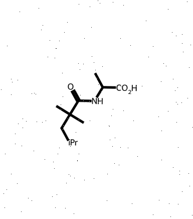 CC(C)CC(C)(C)C(=O)NC(C)C(=O)O